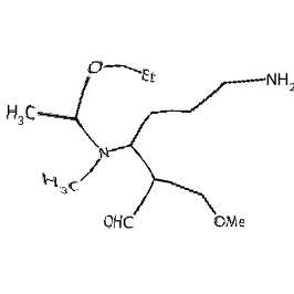 CCOC(C)N(C)C(CCCN)C(C=O)COC